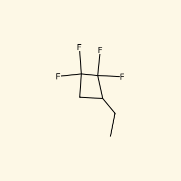 CCC1CC(F)(F)C1(F)F